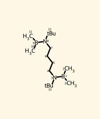 CB(C)N(CCCCN(B(C)C)C(C)(C)C)C(C)(C)C